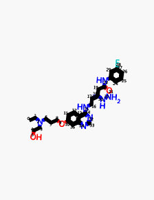 CCN(CCO)CCCOc1ccc2c(NC/C=C(/CC(=O)Nc3cccc(F)c3)NN)ncnc2c1